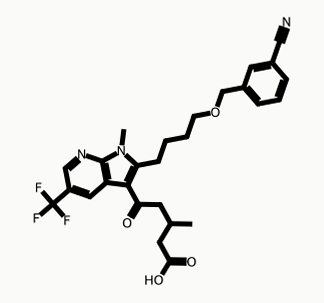 CC(CC(=O)O)CC(=O)c1c(CCCCOCc2cccc(C#N)c2)n(C)c2ncc(C(F)(F)F)cc12